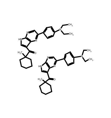 CCN(CC)c1ccc(-c2cnc3[nH]cc(C(=O)C4(C)CCCCC4)c3n2)cc1.CCN(CC)c1ccc(-c2cnc3[nH]cc(C(=O)C4(C)CCCCC4)c3n2)cc1